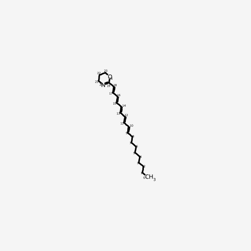 CCCCCCCCCC=CC=CC=CC=CC=CC1=NCCCO1